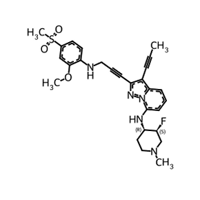 CC#Cc1c(C#CCNc2ccc(S(C)(=O)=O)cc2OC)nn2c(N[C@@H]3CCN(C)C[C@@H]3F)cccc12